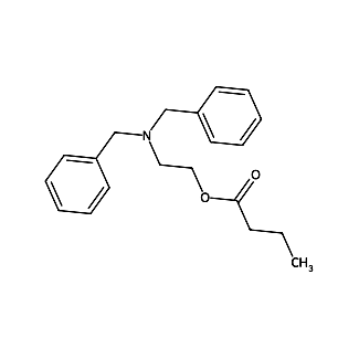 CCCC(=O)OCCN(Cc1ccccc1)Cc1ccccc1